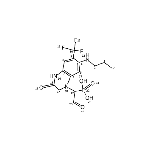 CCCNc1cc2c(cc1C(F)(F)F)NC(=O)CN2C(C=O)P(=O)(O)O